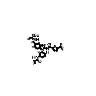 C=CC(=O)Nc1cccc(-n2c(NC(=O)c3ccc(C(F)F)s3)nc3cc(CN[C@@H](C)C(C)(C)C)ccc32)c1